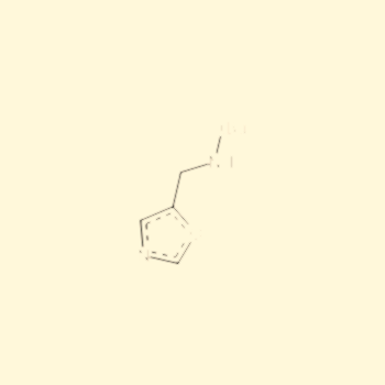 CC(C)(C)NCc1cnco1